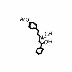 CC(=O)Oc1ccc(CCNCC(O)c2ccccc2)cc1.Cl